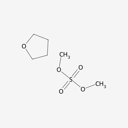 C1CCOC1.COS(=O)(=O)OC